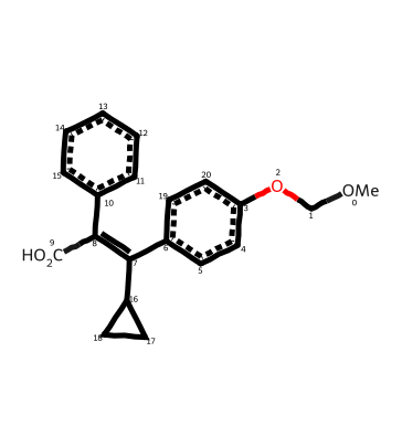 COCOc1ccc(C(=C(C(=O)O)c2ccccc2)C2CC2)cc1